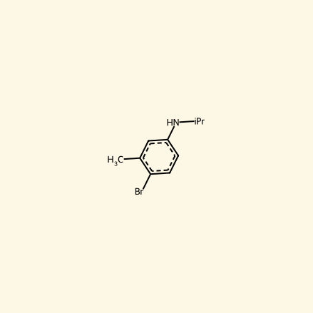 Cc1cc(NC(C)C)ccc1Br